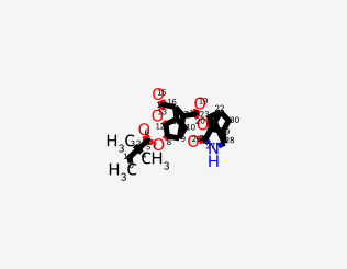 CCC(C)(C)C(=O)OC1C2CC3C1OC(=O)C3C2C(=O)OC1C2CC3C(=O)NC1C3C2